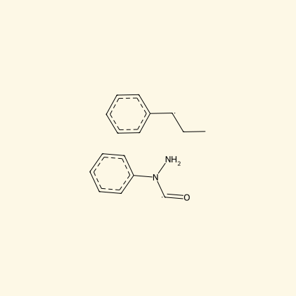 CC[CH]c1ccccc1.NN([C]=O)c1ccccc1